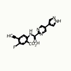 C#Cc1cc(NC(=O)c2ncc(-c3cn[nH]c3)cn2)c(C(=O)O)cc1F